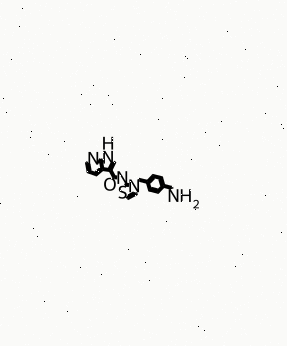 NCc1ccc(Cn2ccsc2=NC(=O)c2c[nH]c3ncccc23)cc1